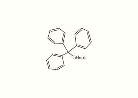 CCCCCCCC(c1ccccc1)(c1ccccc1)c1ccccc1